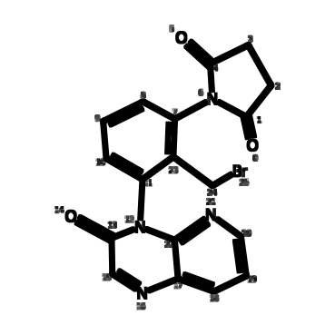 O=C1CCC(=O)N1c1cccc(-n2c(=O)cnc3cccnc32)c1CBr